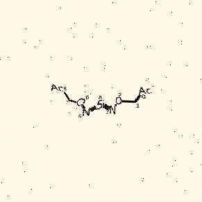 CC(=O)CON=[Si]=NOCC(C)=O